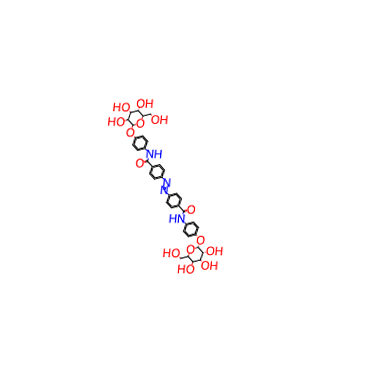 O=C(Nc1ccc(O[C@@H]2OC(CO)[C@@H](O)[C@H](O)C2O)cc1)c1ccc(/N=N/c2ccc(C(=O)Nc3ccc(O[C@H]4OC(CO)[C@H](O)C(O)[C@H]4O)cc3)cc2)cc1